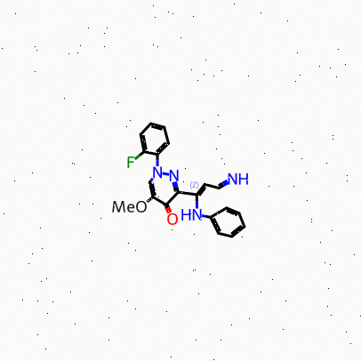 COc1cn(-c2ccccc2F)nc(/C(=C/C=N)Nc2ccccc2)c1=O